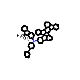 CC1(C)c2ccccc2-c2ccc(N(C3=CC4C(C=C3)C3C=CC=CC3C43c4ccccc4-c4c3cc3c5c(cccc45)-c4ccccc4-3)c3ccc(-c4ccccc4)cc3)cc21